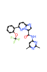 Cc1cc(NC(=O)c2cnc3ccc(-c4ccccc4OC(F)(F)F)nn23)nc(C)n1